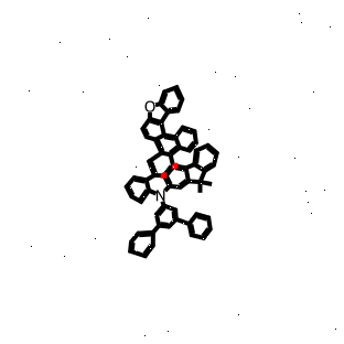 CC1(C)c2ccccc2-c2ccc(N(c3cc(-c4ccccc4)cc(-c4ccccc4)c3)c3ccccc3-c3ccc4c5ccccc5c5c(ccc6oc7ccccc7c65)c4c3)cc21